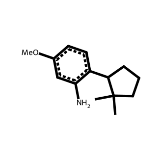 COc1ccc(C2CCCC2(C)C)c(N)c1